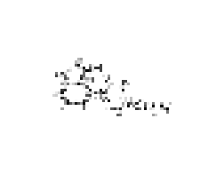 O=C(O)N1CCN(c2cccc3cc[nH]c23)CC1